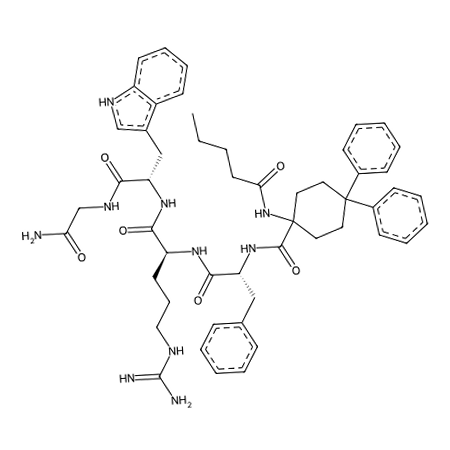 CCCCC(=O)NC1(C(=O)N[C@H](Cc2ccccc2)C(=O)N[C@@H](CCCNC(=N)N)C(=O)N[C@@H](Cc2c[nH]c3ccccc23)C(=O)NCC(N)=O)CCC(c2ccccc2)(c2ccccc2)CC1